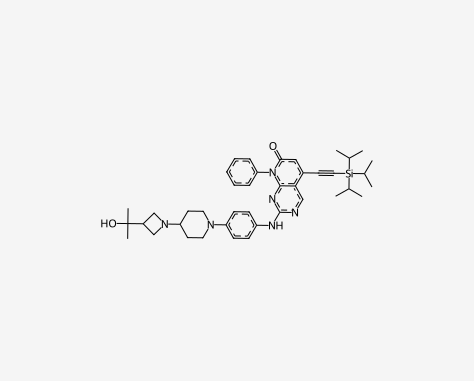 CC(C)[Si](C#Cc1cc(=O)n(-c2ccccc2)c2nc(Nc3ccc(N4CCC(N5CC(C(C)(C)O)C5)CC4)cc3)ncc12)(C(C)C)C(C)C